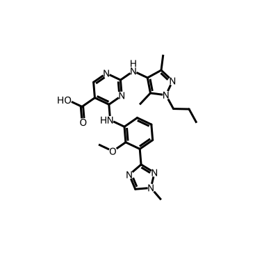 CCCn1nc(C)c(Nc2ncc(C(=O)O)c(Nc3cccc(-c4ncn(C)n4)c3OC)n2)c1C